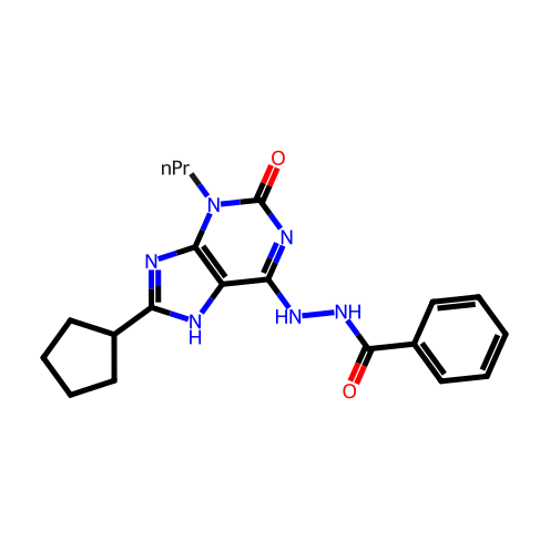 CCCn1c(=O)nc(NNC(=O)c2ccccc2)c2[nH]c(C3CCCC3)nc21